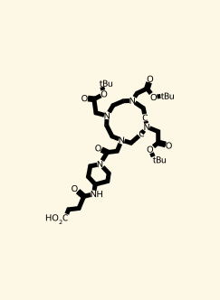 CC(C)(C)OC(=O)CN1CCN(CC(=O)OC(C)(C)C)CCN(CC(=O)N2CCC(NC(=O)CCC(=O)O)CC2)CCN(CC(=O)OC(C)(C)C)CC1